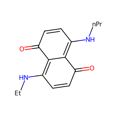 CCCNC1=C2C(=O)C=CC(NCC)=C2C(=O)C=C1